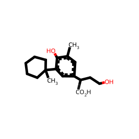 Cc1cc(C(CCO)C(=O)O)cc(C2(C)CCCCC2)c1O